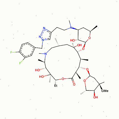 CC[C@H]1OC(=O)[C@H](C)[C@@H](O[C@H]2C[C@@](C)(OC)[C@@H](O)[C@H](C)O2)[C@H](C)[C@@H](O[C@@H]2O[C@H](C)C[C@H](N(C)CCc3cn(Cc4ccc(F)c(F)c4)nn3)[C@H]2O)[C@](C)(O)C[C@@H](C)CN(C)[C@H](C)[C@@H](O)[C@]1(C)O